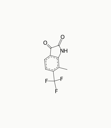 Cc1c(C(F)(F)F)ccc2c1NC(=O)C2=O